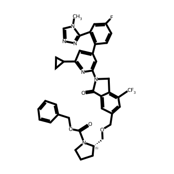 Cn1cnnc1-c1cc(F)ccc1-c1cc(C2CC2)nc(N2Cc3c(cc(COC[C@@H]4CCCN4C(=O)OCc4ccccc4)cc3C(F)(F)F)C2=O)c1